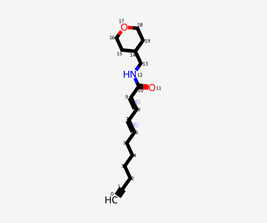 C#CCCCC/C=C/C=C/C(=O)NCC1CCOCC1